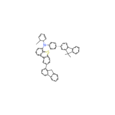 CC1C=CC=CC1N(c1ccc(-c2ccc3c(c2)C(C)(C)c2ccccc2-3)cc1)c1cccc2c1sc1ccc(-c3cccc4c3Cc3ccccc3-4)cc12